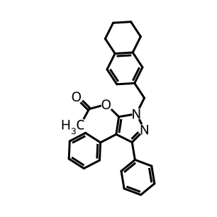 CC(=O)Oc1c(-c2ccccc2)c(-c2ccccc2)nn1Cc1ccc2c(c1)CCCC2